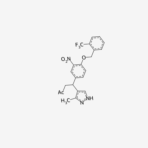 CC(=O)CC(c1ccc(OCc2ccccc2C(F)(F)F)c([N+](=O)[O-])c1)c1c[nH]nc1C